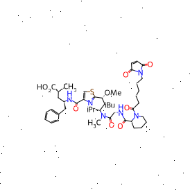 CC[C@H](C)[C@H](NC(=O)C1CCCCN1C(=O)CCCCCN1C(=O)C=CC1=O)C(=O)N(C)[C@H](C[C@@H](OC)c1nc(C(=O)N[C@@H](Cc2ccccc2)C[C@H](C)C(=O)O)cs1)C(C)C